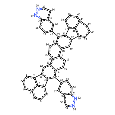 c1cc2c3c(cccc3c1)-c1c-2cc2c(ccc3c4cc5c(c(-c6ccc7nnccc7c6)c4ccc23)-c2cccc3cccc-5c23)c1-c1ccc2nnccc2c1